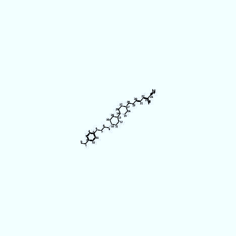 CCc1ccc(CCCC[C@H]2CC[C@H]([C@H]3CC[C@H](CCC=CC=C(F)C#N)CC3)CC2)cc1